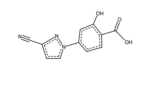 N#Cc1ccn(-c2ccc(C(=O)O)c(O)c2)n1